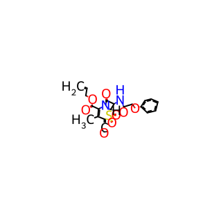 C=CCOC(=O)C1=C(C)C(=C=O)S(=O)(=O)[C@@H]2[C@H](NC(=O)COc3ccccc3)C(=O)N12